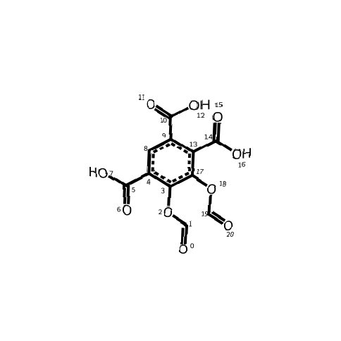 O=COc1c(C(=O)O)cc(C(=O)O)c(C(=O)O)c1OC=O